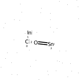 [C].[In].[O]=[Sn]